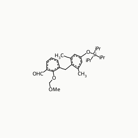 COCOc1c(C=O)cccc1Cc1c(C)cc(O[Si](C(C)C)(C(C)C)C(C)C)cc1C